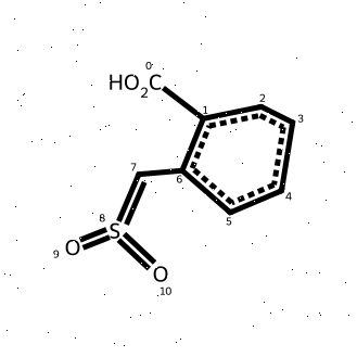 O=C(O)c1ccccc1C=S(=O)=O